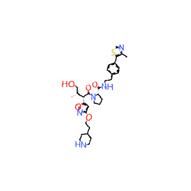 Cc1ncsc1-c1ccc(CCNC(=O)[C@@H]2CCCN2C(=O)[C@H](c2cc(OCCC3CCNCC3)no2)[C@H](C)CO)cc1